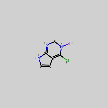 ClC1=c2cc[nH]c2=NCN1I